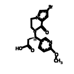 COc1ccc([C@H](CC(=O)O)N2CCn3cc(Br)cc3C2=O)cn1